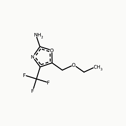 CCOCc1oc(N)nc1C(F)(F)F